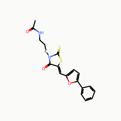 CC(=O)NCCCN1C(=O)C(=Cc2ccc(-c3ccccc3)o2)SC1=S